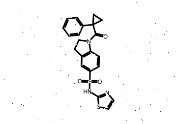 O=C(N1CCc2cc(S(=O)(=O)Nc3nccs3)ccc21)C1(c2ccccc2)CC1